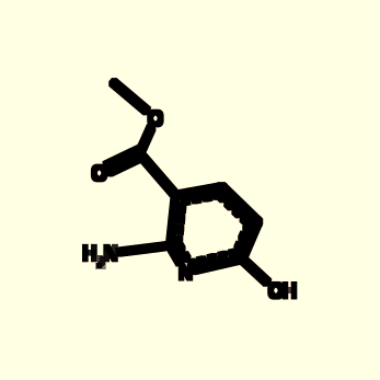 COC(=O)c1ccc(O)nc1N